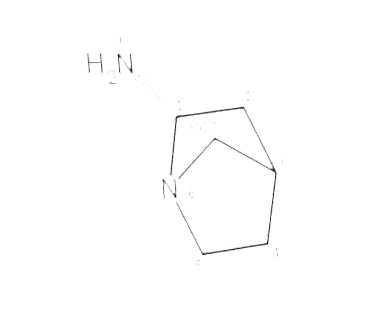 N[C@@H]1CC2CCN1C2